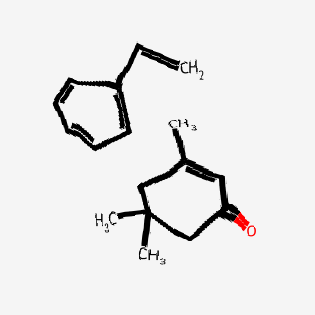 C=Cc1ccccc1.CC1=CC(=O)CC(C)(C)C1